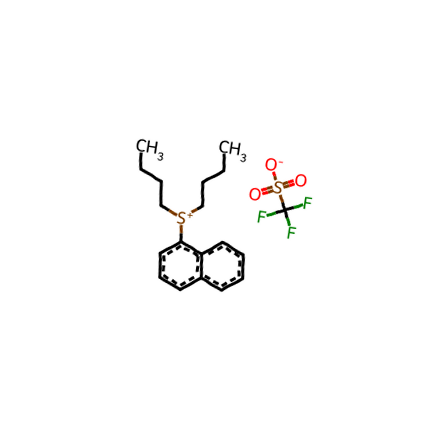 CCCC[S+](CCCC)c1cccc2ccccc12.O=S(=O)([O-])C(F)(F)F